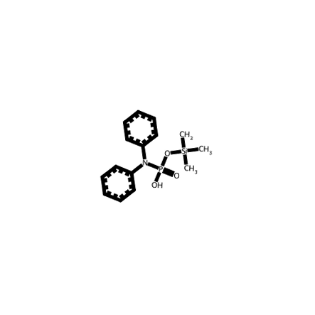 C[Si](C)(C)OP(=O)(O)N(c1ccccc1)c1ccccc1